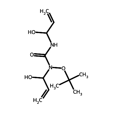 C=CC(O)NC(=O)N(OC(C)(C)C)C(O)C=C